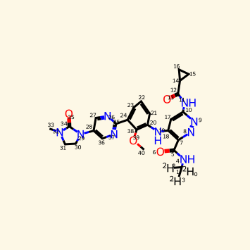 [2H]C([2H])([2H])NC(=O)c1nnc(NC(=O)C2CC2)cc1Nc1cccc(-c2ncc(N3CCN(C)C3=O)cn2)c1OC